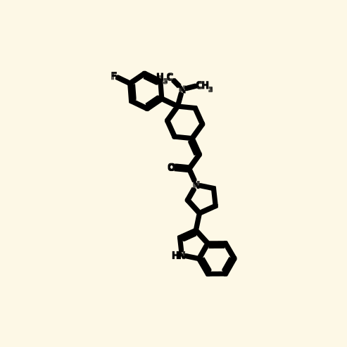 CN(C)C1(c2ccc(F)cc2)CCC(=CC(=O)N2CCC(c3c[nH]c4ccccc34)C2)CC1